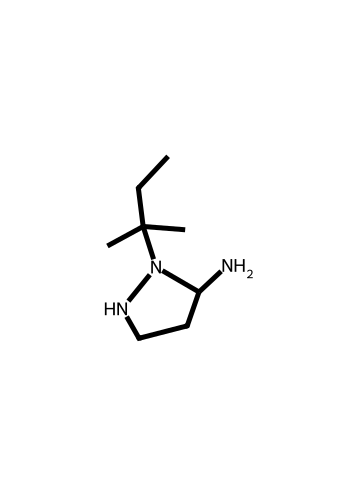 CCC(C)(C)N1NCCC1N